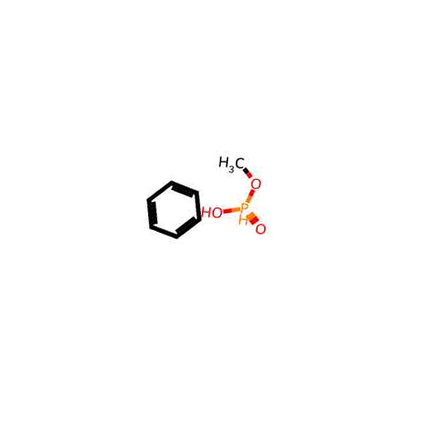 CO[PH](=O)O.c1ccccc1